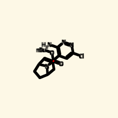 CCCCOC(=O)N1C2C=C(c3cc(Cl)nnc3N)CC1CC2